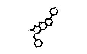 O=c1nc2c(cn1CC1CCCCC1)Oc1ccc(C3CCNCC3)cc1N2